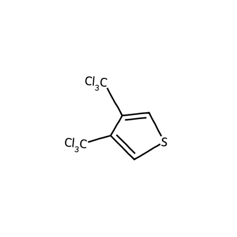 ClC(Cl)(Cl)c1cscc1C(Cl)(Cl)Cl